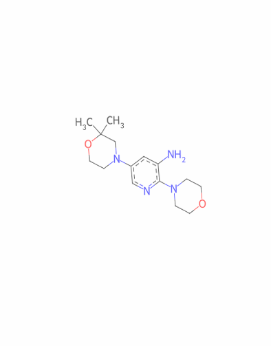 CC1(C)CN(c2cnc(N3CCOCC3)c(N)c2)CCO1